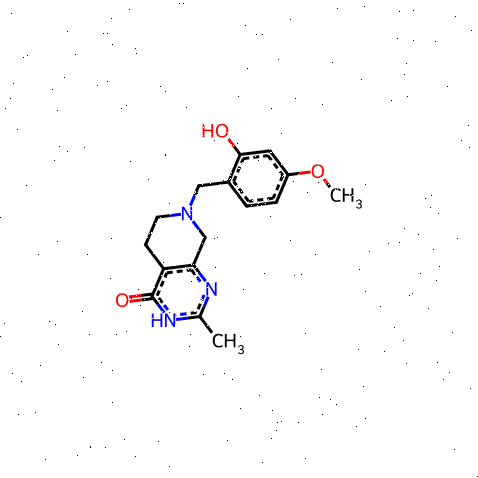 COc1ccc(CN2CCc3c(nc(C)[nH]c3=O)C2)c(O)c1